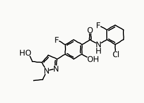 CCn1nc(-c2cc(O)c(C(=O)NC3=C(Cl)CCC=C3F)cc2F)cc1CO